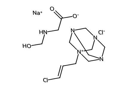 ClC=CC[N+]12CN3CN(CN(C3)C1)C2.O=C([O-])CNCO.[Cl-].[Na+]